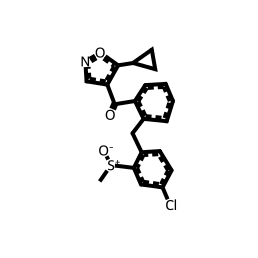 C[S+]([O-])c1cc(Cl)ccc1Cc1ccccc1C(=O)c1cnoc1C1CC1